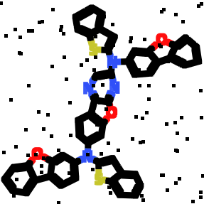 c1ccc2sc(N(c3ccc4c(c3)oc3ccccc34)c3ccc4c(c3)oc3nc(N(c5ccc6c(c5)oc5ccccc56)c5cc6ccccc6s5)cnc34)cc2c1